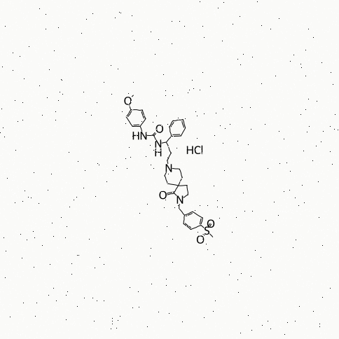 COc1ccc(NC(=O)NC(CCN2CCC3(CC2)CCN(Cc2ccc(S(C)(=O)=O)cc2)C3=O)c2ccccc2)cc1.Cl